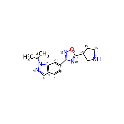 CC(C)n1ncc2ccc(-c3noc(C4CCNC4)n3)cc21